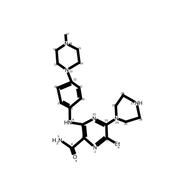 CCc1nc(C(N)=O)c(Nc2ccc(N3CCN(C)CC3)cc2)nc1N1CCNCC1